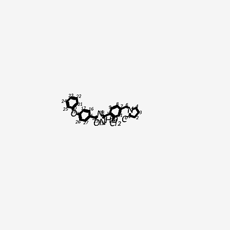 O=C(O)[C@@H]1CCCN1Cc1ccc(-c2noc(-c3ccc(Oc4ccccc4)cc3)n2)c(Cl)c1